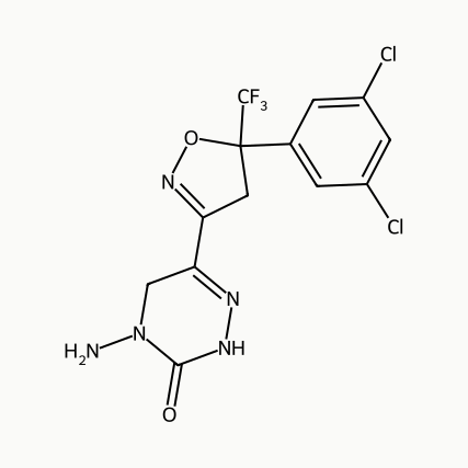 NN1CC(C2=NOC(c3cc(Cl)cc(Cl)c3)(C(F)(F)F)C2)=NNC1=O